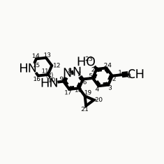 C#Cc1ccc(-c2nnc(N[C@@H]3CCCNC3)cc2C2CC2)c(O)c1